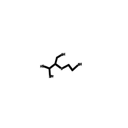 CCCC(S)C(CS)SCCS